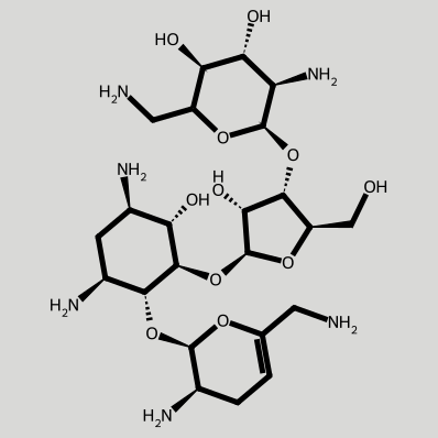 NCC1=CC[C@@H](N)[C@@H](O[C@H]2[C@H](O[C@@H]3O[C@H](CO)[C@@H](O[C@H]4OC(CN)[C@@H](O)[C@H](O)[C@H]4N)[C@H]3O)[C@@H](O)[C@H](N)C[C@@H]2N)O1